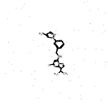 CC(C)c1cnn2c(NCc3cccc(-n4cc(N)cn4)c3)cc(Cl)nc12